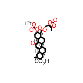 Cc1oc(=O)oc1COC(=O)[C@@]1(C)C2CC[C@]3(C)[C@H](C(=O)C=C4[C@@H]5C[C@@](C)(C(=O)O)CC[C@]5(C)CC[C@]43C)[C@@]2(C)CC[C@@H]1OC(=O)OC(C)C